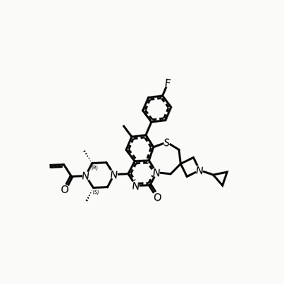 C=CC(=O)N1[C@H](C)CN(c2nc(=O)n3c4c(c(-c5ccc(F)cc5)c(C)cc24)SCC2(CN(C4CC4)C2)C3)C[C@@H]1C